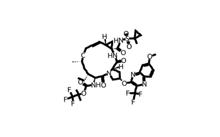 CC[C@@H]1C[C@H](C)CC/C=C\[C@@H]2C[C@@]2(C(=O)NS(=O)(=O)C2(C)CC2)NC(=O)[C@@H]2C[C@@H](Oc3nc4cc(OC)ccc4nc3C(F)(F)F)CN2C(=O)[C@H]1NC(=O)OC(C)(C)C(F)(F)F